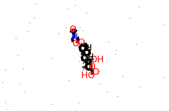 C[C@@H]1CC(C(=O)O)OC2C1[C@@]1(C)CC[C@@]34C[C@@]35CC[C@H](OC3CN(C6COC6)CCO3)C(C)(C)[C@@H]5CC[C@H]4[C@]1(C)[C@H]2O